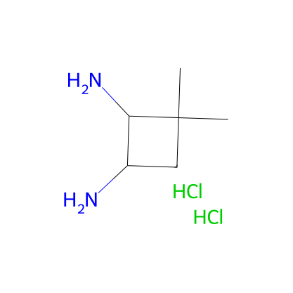 CC1(C)CC(N)C1N.Cl.Cl